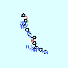 CN1CCN([C@H]2CC[C@H](n3cc(-c4ccc(Oc5ccccc5CN5CCN([C@H]6CC[C@H](c7nc(-c8ccc(Oc9ccccc9)cc8F)c8c(N)ncnn87)CC6)CC5)cc4)c4c(N)ncnc43)CC2)CC1